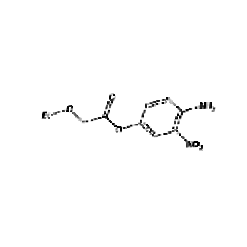 CCOCC(=O)Oc1ccc(N)c([N+](=O)[O-])c1